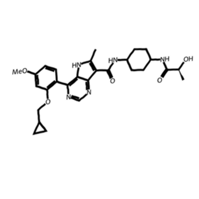 COc1ccc(-c2ncnc3c(C(=O)NC4CCC(NC(=O)[C@H](C)O)CC4)c(C)[nH]c23)c(OCC2CC2)c1